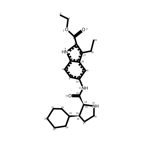 CCOC(=O)c1[nH]c2ccc(NC(=O)[C@H]3NCC[C@H]3C3CCCCC3)cc2c1CC